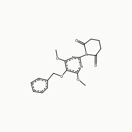 COc1nc(N2C(=O)CCCC2=O)nc(OC)c1OCc1ccccc1